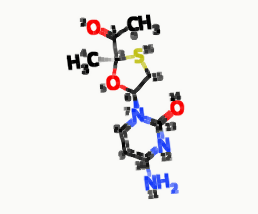 CC(=O)[C@]1(C)O[C@H](n2ccc(N)nc2=O)CS1